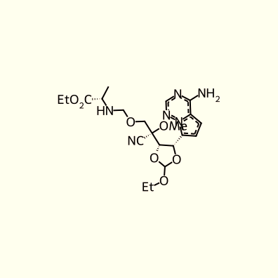 CCOC(=O)[C@H](C)NCOC[C@@](C#N)(OC)[C@H]1OC(OCC)O[C@H]1c1ccc2c(N)ncnn12